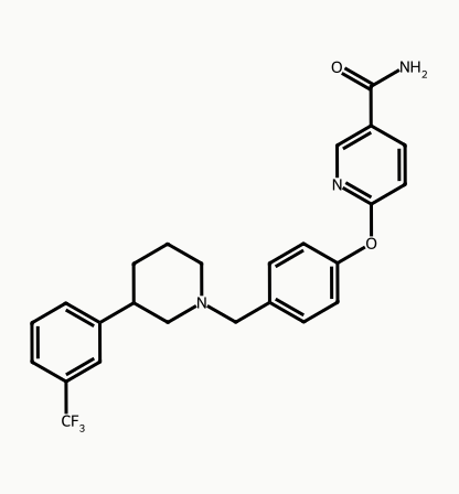 NC(=O)c1ccc(Oc2ccc(CN3CCCC(c4cccc(C(F)(F)F)c4)C3)cc2)nc1